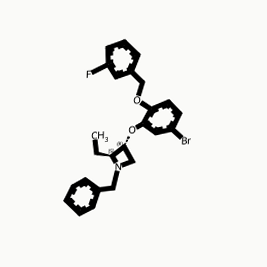 CC[C@H]1[C@H](Oc2cc(Br)ccc2OCc2cccc(F)c2)CN1Cc1ccccc1